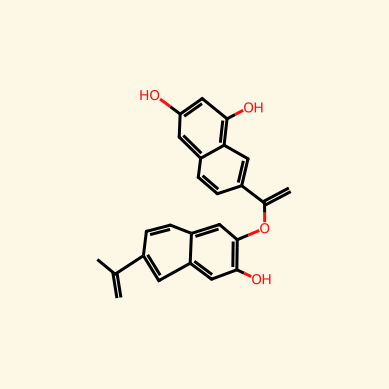 C=C(C)c1ccc2cc(OC(=C)c3ccc4cc(O)cc(O)c4c3)c(O)cc2c1